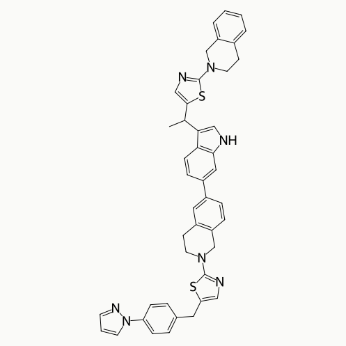 CC(c1cnc(N2CCc3ccccc3C2)s1)c1c[nH]c2cc(-c3ccc4c(c3)CCN(c3ncc(Cc5ccc(-n6cccn6)cc5)s3)C4)ccc12